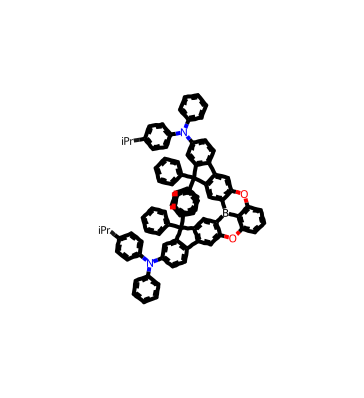 CC(C)c1ccc(N(c2ccccc2)c2ccc3c(c2)C(c2ccccc2)(c2ccccc2)c2cc4c(cc2-3)Oc2cccc3c2B4c2cc4c(cc2O3)-c2ccc(N(c3ccccc3)c3ccc(C(C)C)cc3)cc2C4(c2ccccc2)c2ccccc2)cc1